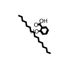 CCCCCCCCCCCCCCCC.O=C(O)c1ccccc1O